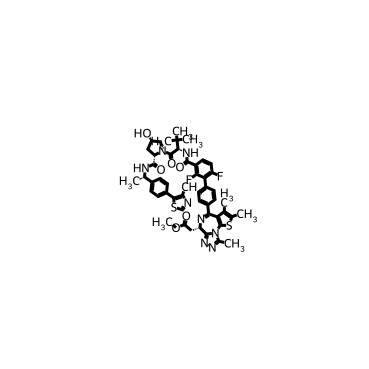 COC(=O)C[C@@H]1N=C(c2ccc(-c3c(F)ccc(C(=O)N[C@H](C(=O)N4C[C@H](O)C[C@H]4C(=O)N[C@@H](C)c4ccc(-c5scnc5C)cc4)C(C)(C)C)c3F)cc2)c2c(sc(C)c2C)-n2c(C)nnc21